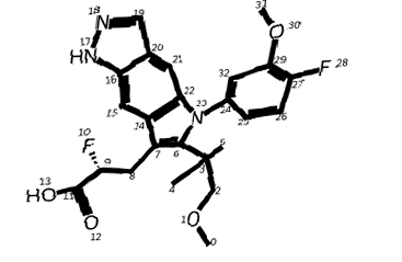 COCC(C)(C)c1c(C[C@@H](F)C(=O)O)c2cc3[nH]ncc3cc2n1-c1ccc(F)c(OC)c1